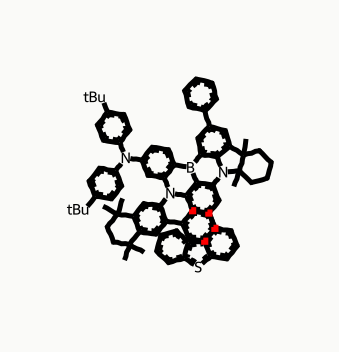 CC(C)(C)c1ccc(N(c2ccc(C(C)(C)C)cc2)c2ccc3c(c2)N(c2cc4c(cc2-c2ccccc2)C(C)(C)CCC4(C)C)c2cc(-c4cccc5sc6ccccc6c45)cc4c2B3c2cc(-c3ccccc3)cc3c2N4C2(C)CCCCC32C)cc1